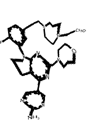 Nc1ncc(-c2nc(N3CCOCC3)nc3c2CCN3c2cc(CN3CCN(CC=O)CC3)ccc2F)cn1